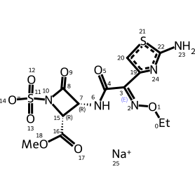 CCO/N=C(/C(=O)N[C@H]1C(=O)N(S(=O)(=O)[O-])[C@H]1C(=O)OC)c1csc(N)n1.[Na+]